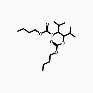 CCCCOC(=O)OC(C(C)C)C(OC(=O)OCCCC)C(C)C